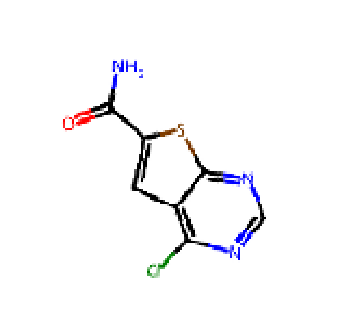 NC(=O)c1cc2c(Cl)ncnc2s1